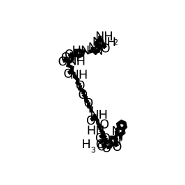 CC[C@]1(OC(=O)CNC(=O)CCC(=O)NCCCOCCOCCOCCCNC(=O)CCC(NC(=O)c2ccc(NCc3cnc4c(=O)[nH]c(N)nc4n3)cc2)C(=O)O)C(=O)OCc2c1cc1n(c2=O)Cc2cc3ccccc3nc2-1